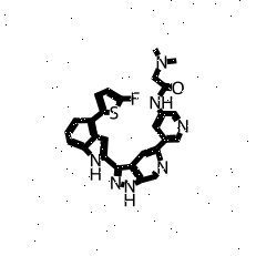 CN(C)CC(=O)Nc1cncc(-c2cc3c(-c4cc5c(-c6ccc(F)s6)cccc5[nH]4)n[nH]c3cn2)c1